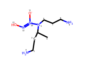 CC(CCN)N(CCCN)/[N+]([O-])=N/O